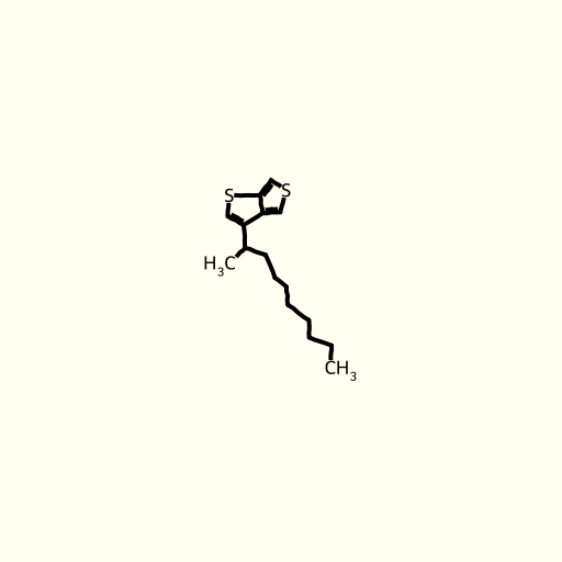 CCCCCCCCC(C)c1csc2cscc12